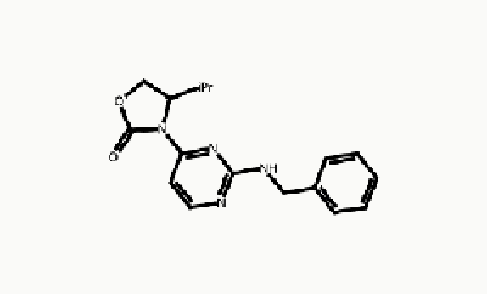 CC(C)C1COC(=O)N1c1ccnc(NCc2ccccc2)n1